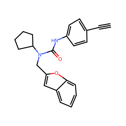 C#Cc1ccc(NC(=O)N(Cc2cc3ccccc3o2)C2CCCC2)cc1